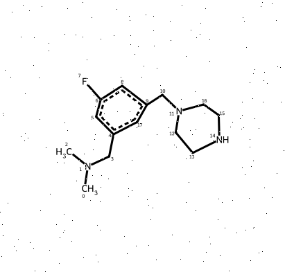 CN(C)Cc1cc(F)cc(CN2CCNCC2)c1